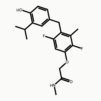 CNC(=O)COc1cc(F)c(Cc2ccc(O)c(C(C)C)c2)c(C)c1F